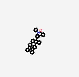 O=c1c2ccccc2c2cc(-c3c4ccccc4c(-c4ccc5c(c4)C4(c6ccccc6-c6ccccc64)c4ccccc4-5)c4ccccc34)ccc2n1-c1ccccc1